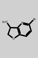 CC(=O)OC1COc2ccc(Br)nc21